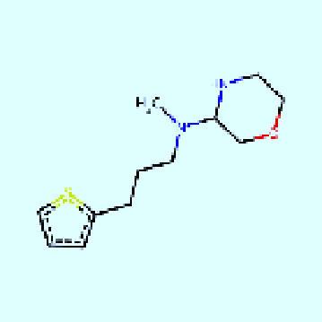 CN(CCCc1cccs1)C1COCCN1